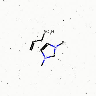 C=CCS(=O)(=O)O.CCN1C=CN(C)C1